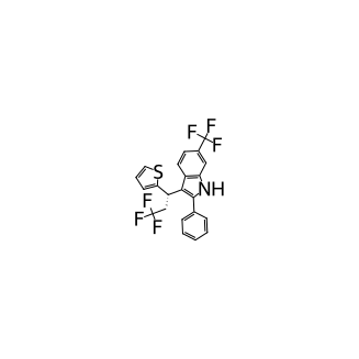 FC(F)(F)C[C@H](c1cccs1)c1c(-c2ccccc2)[nH]c2cc(C(F)(F)F)ccc12